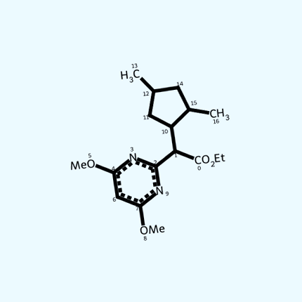 CCOC(=O)C(c1nc(OC)cc(OC)n1)C1CC(C)CC1C